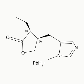 CC[C@@H]1C(=O)OC[C@@H]1Cc1cncn1C.[PbH2]